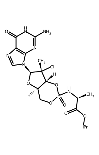 CC(C)OC(=O)[C@H](C)NP1(=O)OC[C@H]2O[C@@H](n3cnc4c(=O)[nH]c(N)nc43)[C@](C)(Cl)[C@@H]2O1